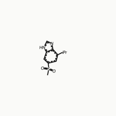 CC(C)c1cc(S(C)(=O)=O)cc2[nH]cnc12